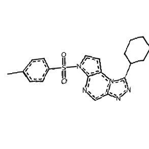 Cc1ccc(S(=O)(=O)n2ccc3c2ncc2nnc(C4CCCCC4)n23)cc1